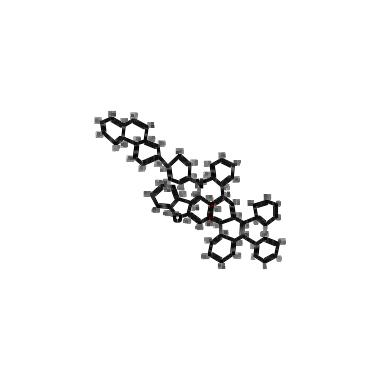 c1ccc(-c2c(-c3ccccc3)c3cc(-c4ccccc4N(c4ccc(-c5ccc6c(ccc7ccccc76)c5)cc4)c4cccc5oc6ccccc6c45)ccc3c3ccccc23)cc1